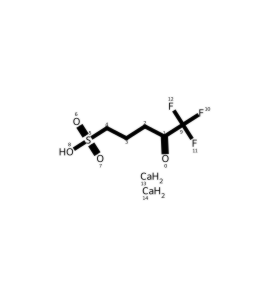 O=C(CCCS(=O)(=O)O)C(F)(F)F.[CaH2].[CaH2]